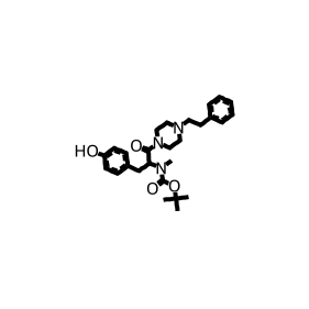 CN(C(=O)OC(C)(C)C)C(Cc1ccc(O)cc1)C(=O)N1CCN(CCc2ccccc2)CC1